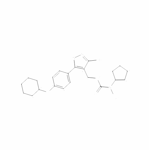 Cc1n[nH]c(-c2ccc(OC3CCCCC3)cc2)c1COC(=O)N(C)C1CCCC1